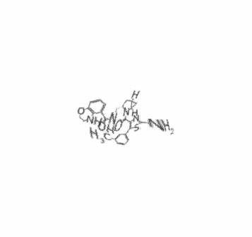 Cc1cccc(-c2sc(N)nc2C(=O)N2[C@H](CNC(=O)c3cccc4c3NCCO4)C[C@@H]3C[C@@H]32)c1